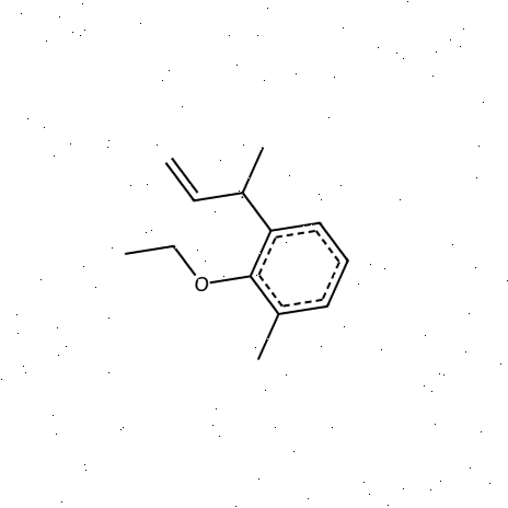 C=C[C](C)c1cccc(C)c1OCC